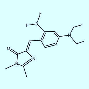 CCN(CC)c1ccc(C=C2N=C(C)N(C)C2=O)c(B(F)F)c1